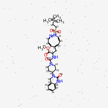 COC(=O)C(Cc1cccnn(S(=O)(=O)CC[Si](C)(C)C)ccc1)NC(=O)N1CCC(N2Cc3ccccc3NC2=O)CC1